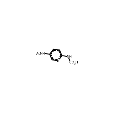 CC(=O)Nc1ccc(NC(=O)O)nc1